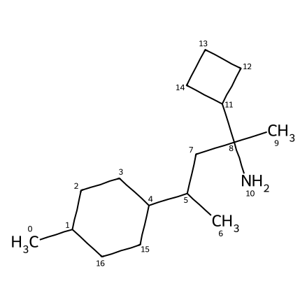 CC1CCC(C(C)CC(C)(N)C2CCC2)CC1